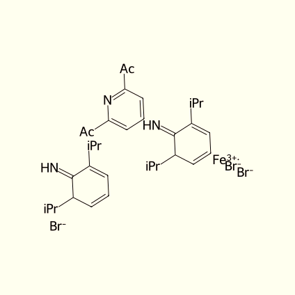 CC(=O)c1cccc(C(C)=O)n1.CC(C)C1=CC=CC(C(C)C)C1=N.CC(C)C1=CC=CC(C(C)C)C1=N.[Br-].[Br-].[Br-].[Fe+3]